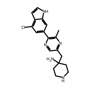 Cc1nc(CC2(N)CCNCC2)cnc1-c1cc(Cl)c2cc[nH]c2c1